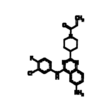 C=CC(=O)N1CCC(c2nc(Nc3ccc(F)c(Cl)c3)c3cc(N)ccc3n2)CC1